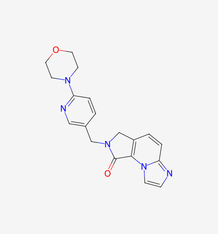 O=C1c2c(ccc3nccn23)CN1Cc1ccc(N2CCOCC2)nc1